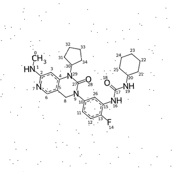 CNc1cc2c(cn1)CN(c1ccc(F)c(NC(=O)NC3CCCCC3)c1)C(=O)N2C1CCCC1